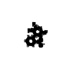 O=[N+]([O-])c1ccccc1-c1c(F)c(F)nc(F)c1F